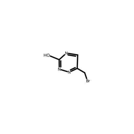 Oc1ncc(CBr)nn1